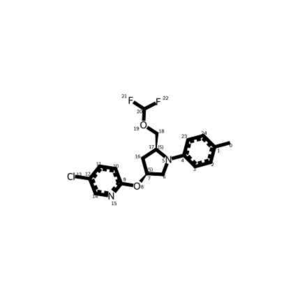 Cc1ccc(N2C[C@@H](Oc3ccc(Cl)cn3)C[C@H]2COC(F)F)cc1